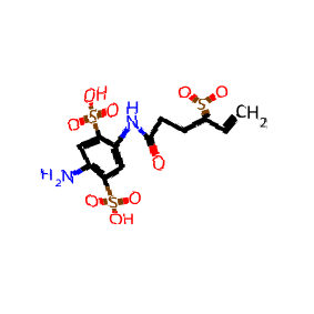 C=CC(CCC(=O)Nc1cc(S(=O)(=O)O)c(N)cc1S(=O)(=O)O)=S(=O)=O